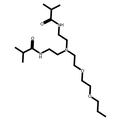 CCCOCCOCCN(CCNC(=O)C(C)C)CCNC(=O)C(C)C